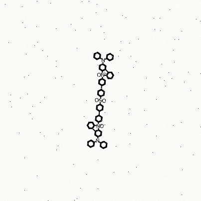 O=S(=O)(c1ccc(-c2ccc([N+]3([O-])c4ccccc4-c4cc(N(c5ccccc5)c5ccccc5)ccc43)cc2)cc1)c1ccc(-c2ccc([N+]3([O-])c4ccccc4-c4cc(N(c5ccccc5)c5ccccc5)ccc43)cc2)cc1